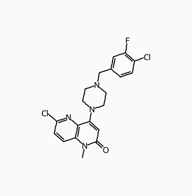 Cn1c(=O)cc(N2CCN(Cc3ccc(Cl)c(F)c3)CC2)c2nc(Cl)ccc21